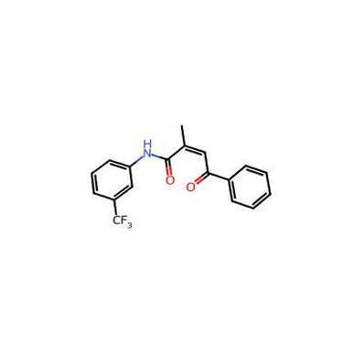 CC(=CC(=O)c1ccccc1)C(=O)Nc1cccc(C(F)(F)F)c1